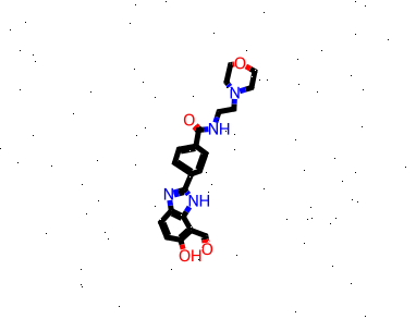 O=Cc1c(O)ccc2nc(-c3ccc(C(=O)NCCN4CCOCC4)cc3)[nH]c12